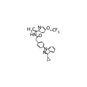 C[C@@H](NC(=O)Cc1ccc(-n2nc(C3CC3)c3ccccc32)cc1)c1ccc(OCC(F)(F)F)cn1